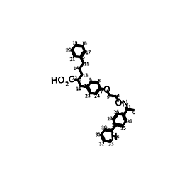 CC(=NOCCOc1ccc(CC(CCCc2ccccc2)C(=O)O)cc1)c1ccc(-c2ccccn2)cc1